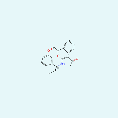 CC[C@H](NC1=C(C(C)=O)c2ccccc2C(C=O)O1)c1ccccc1